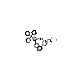 Cc1nn(C(c2ccccc2)(c2ccccc2)c2ccccc2)cc1-c1ccc2nccc(N3CCN(CC(N)=O)CC3)c2c1